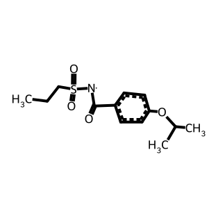 CCCS(=O)(=O)[N]C(=O)c1ccc(OC(C)C)cc1